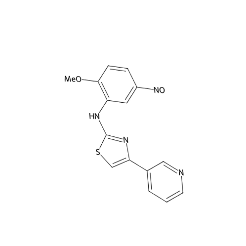 COc1ccc(N=O)cc1Nc1nc(-c2cccnc2)cs1